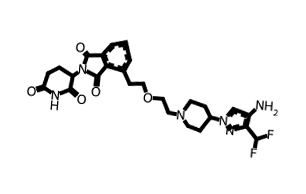 Nc1cn(C2CCN(CCOCCc3cccc4c3C(=O)N(C3CCC(=O)NC3=O)C4=O)CC2)nc1C(F)F